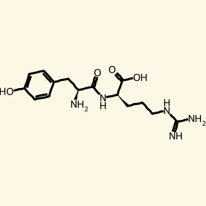 N=C(N)NCCC[C@@H](NC(=O)[C@@H](N)Cc1ccc(O)cc1)C(=O)O